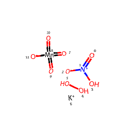 O=[N+]([O-])O.OO.[K+].[O]=[Mn](=[O])(=[O])[O-]